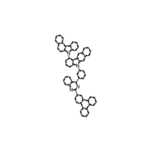 c1cc(-c2nc(-c3ccc4c5ccccc5c5ccccc5c4c3)nc3ccccc23)cc(-n2c3cc4ccccc4cc3c3c(-n4c5ccccc5c5c6ccccc6ccc54)cccc32)c1